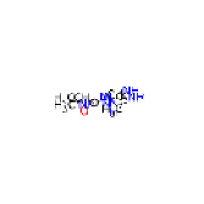 CCc1c(Nc2nc(-c3ccc(C(=O)NCC(C)(C)C)cc3)nn2C)ccc(N)c1C=N